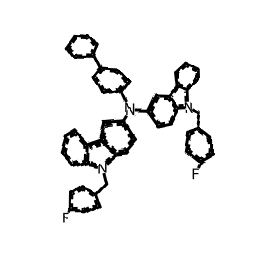 Fc1ccc(Cn2c3ccccc3c3cc(N(c4ccc(-c5ccccc5)cc4)c4ccc5c(c4)c4ccccc4n5Cc4ccc(F)cc4)ccc32)cc1